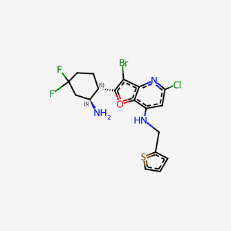 N[C@H]1CC(F)(F)CC[C@@H]1c1oc2c(NCc3cccs3)cc(Cl)nc2c1Br